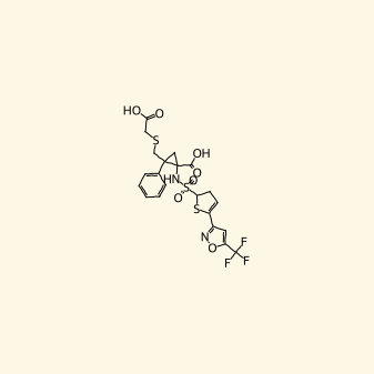 O=C(O)CSCC1(c2ccccc2)CC1(NS(=O)(=O)C1CC=C(c2cc(C(F)(F)F)on2)S1)C(=O)O